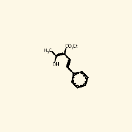 CCOC(=O)C(C=Cc1ccccc1)=C(C)O